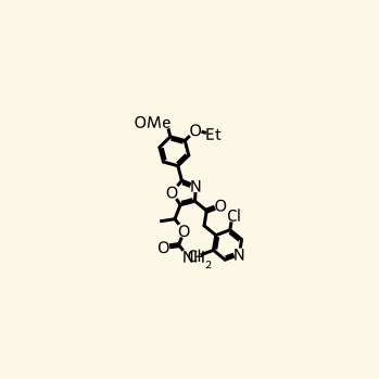 CCOc1cc(-c2nc(C(=O)Cc3c(Cl)cncc3Cl)c(C(C)OC(N)=O)o2)ccc1OC